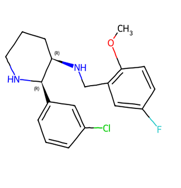 COc1ccc(F)cc1CN[C@@H]1CCCN[C@@H]1c1cccc(Cl)c1